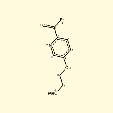 CCC(=O)c1ccc(OCCOC)cn1